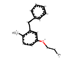 CC(C)CCOc1ccc(C(=O)O)c(Cc2ccccc2)c1